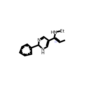 C/C=C(\NCC)C1=CNC(c2ccccc2)N=C1